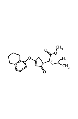 COC(=O)[C@H](CC(C)C)N1CC(Oc2cccc3c2CCCC3)=CC1=O